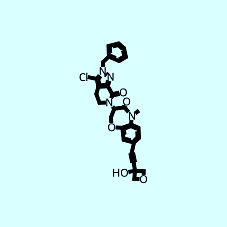 CN1C(=O)C(N2CCc3c(nn(Cc4ccccc4)c3Cl)C2=O)COc2cc(C#CC3(O)COC3)ccc21